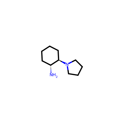 N[C@@H]1CCCC[C@H]1N1CCCC1